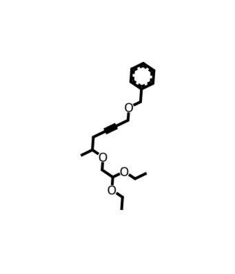 CCOC(COC(C)CC#CCOCc1ccccc1)OCC